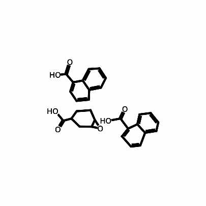 O=C(O)C1CCC2OC2C1.O=C(O)c1cccc2ccccc12.O=C(O)c1cccc2ccccc12